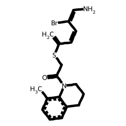 C=C(/C=C\C(Br)=C/N)SCC(=O)N1CCCc2cccc(C)c21